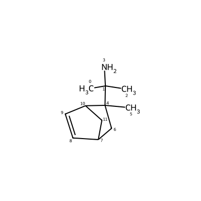 CC(C)(N)C1(C)CC2C=CC1C2